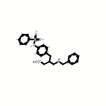 CCOC(=O)CC(CNCc1ccccc1)Cc1ccc(OS(=O)(=O)c2ccccc2)cc1